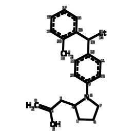 C=C(O)CC1CCCN1c1ccc(C(CC)c2ccccc2C)cc1